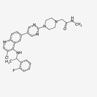 CNC(=O)CN1CCN(c2ncc(-c3ccc4ncc(Cl)c(NC(C)c5ccccc5F)c4c3)cn2)CC1